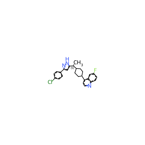 C[C@H](c1cc(-c2ccc(Cl)cc2)n[nH]1)C1CCC(c2ccnc3ccc(F)cc23)CC1